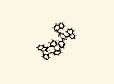 c1ccc(-c2c3ccccc3n3c4ccccc4n(-c4cccc(-c5ccc(-c6nc(-c7cccc8ccccc78)nc(-c7cccc8ccccc78)n6)cc5)c4)c23)cc1